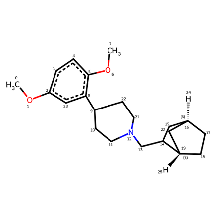 COc1ccc(OC)c(C2CCN(CC3C[C@H]4CC[C@H]3C4)CC2)c1